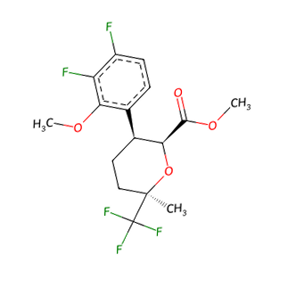 COC(=O)[C@H]1O[C@@](C)(C(F)(F)F)CC[C@H]1c1ccc(F)c(F)c1OC